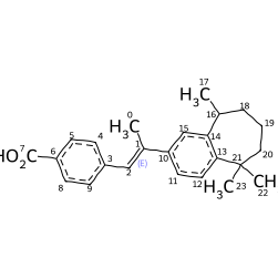 C/C(=C\c1ccc(C(=O)O)cc1)c1ccc2c(c1)C(C)CCCC2(C)C